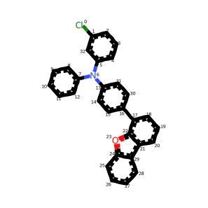 Clc1cccc(N(c2ccccc2)c2ccc(-c3cccc4c3oc3ccccc34)cc2)c1